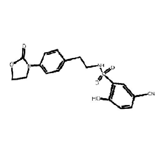 N#Cc1ccc(O)c(S(=O)(=O)NCCc2ccc(N3CCOC3=O)cc2)c1